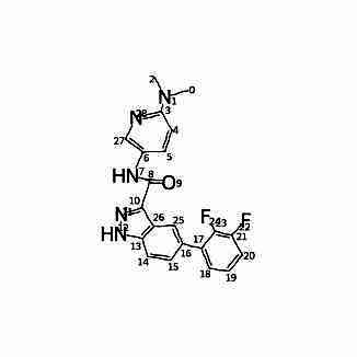 CN(C)c1ccc(NC(=O)c2n[nH]c3ccc(-c4cccc(F)c4F)cc23)cn1